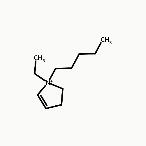 CCCCC[N+]1(CC)C=CCC1